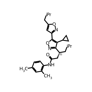 Cc1ccc(NC(=O)C[C@H](CC(C)C)c2noc(-c3cc(CC(C)C)on3)c2C2CC2)c(C)c1